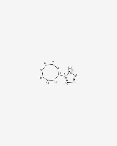 [c]1cc[nH]c1C1CCCCCCC1